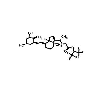 C=C1C(=CC=C2CCC[C@]3(C)C([C@H](C)OCC(=O)OC(C(F)(F)F)C(F)(F)F)=CC[C@@H]23)C[C@@H](O)C[C@@H]1O